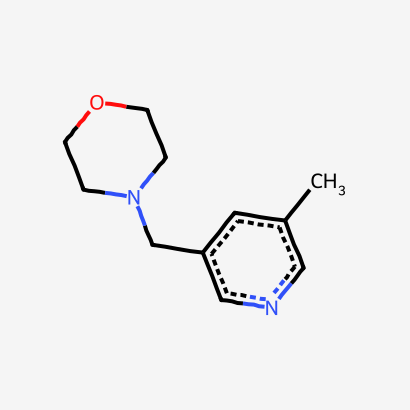 Cc1cncc(CN2CCOCC2)c1